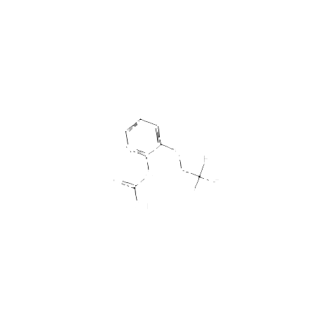 CC(=O)Oc1ncccc1OCC(F)(F)F